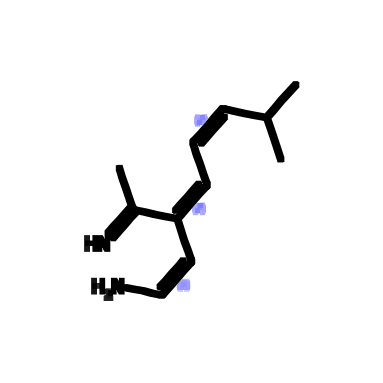 CC(=N)C(/C=C\N)=C\C=C/C(C)C